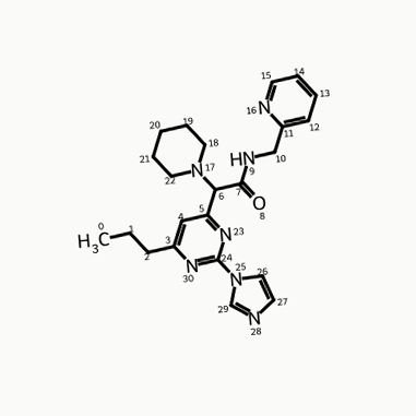 CCCc1cc(C(C(=O)NCc2ccccn2)N2CCCCC2)nc(-n2ccnc2)n1